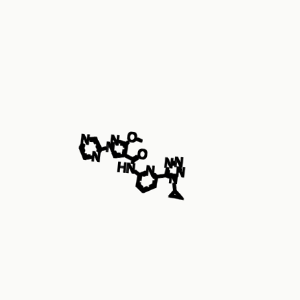 COc1nn(-c2cnccn2)cc1C(=O)Nc1cccc(-c2nnnn2C2CC2)n1